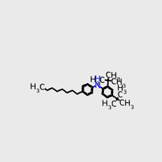 CCCCCCCCc1ccc(Nc2ccc(C(C)(C)C)cc2C(C)(C)C)cc1